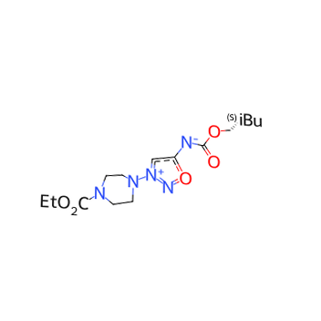 CCOC(=O)N1CCN([n+]2cc([N-]C(=O)OC[C@@H](C)CC)on2)CC1